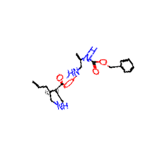 C=CC[C@@H]1CNC[C@@H]1C(=O)ONCC(C)NC(=O)OCc1ccccc1